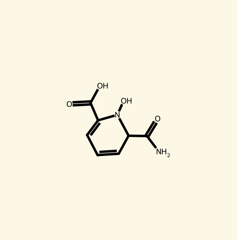 NC(=O)C1C=CC=C(C(=O)O)N1O